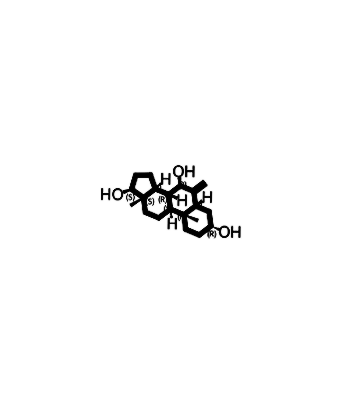 C=C1[C@H](O)[C@@H]2[C@H](CC[C@]3(C)[C@@H](O)CC[C@@H]23)[C@@]2(C)CC[C@@H](O)C[C@@H]12